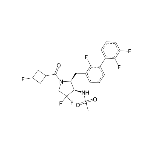 CS(=O)(=O)N[C@@H]1[C@H](Cc2cccc(-c3cccc(F)c3F)c2F)N(C(=O)C2CC(F)C2)CC1(F)F